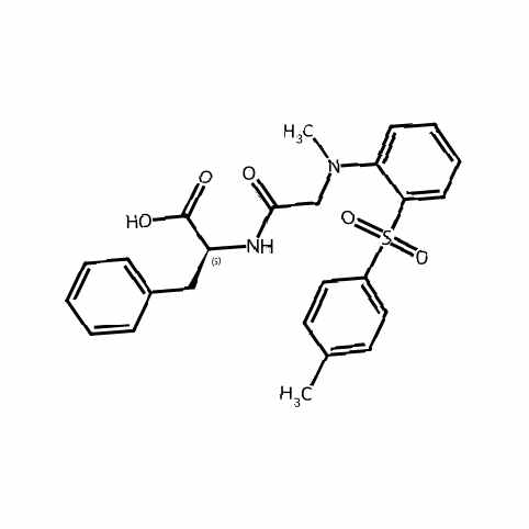 Cc1ccc(S(=O)(=O)c2ccccc2N(C)CC(=O)N[C@@H](Cc2ccccc2)C(=O)O)cc1